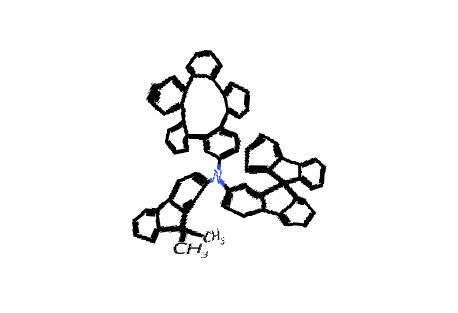 CC1(C)c2ccccc2-c2ccc(N(c3ccc4c(c3)C3(c5ccccc5-c5ccccc53)c3ccccc3-4)c3ccc4c5ccccc5c5ccccc5c5ccccc5c5ccccc5c4c3)cc21